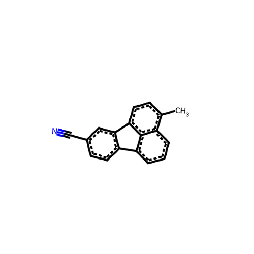 Cc1ccc2c3c(cccc13)-c1ccc(C#N)cc1-2